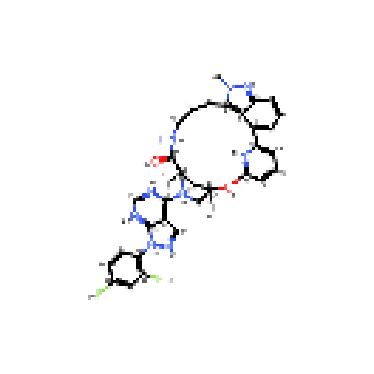 Cn1nc2cccc3c2c1CCCNC(=O)[C@@H]1C[C@@H](CN1c1ncnc2c1cnn2-c1ccc(F)cc1F)Oc1cccc-3n1